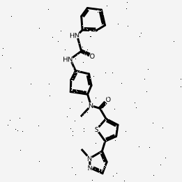 CN(C(=O)c1ccc(-c2ccnn2C)s1)c1ccc(NC(=O)Nc2ccccc2)cc1